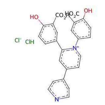 Cl.O=C(O)c1cc(-c2cc(-c3ccncc3)cc[n+]2-c2ccc(O)c(C(=O)O)c2)ccc1O.[Cl-]